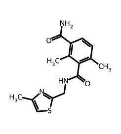 Cc1csc(CNC(=O)c2c(C)ccc(C(N)=O)c2C)n1